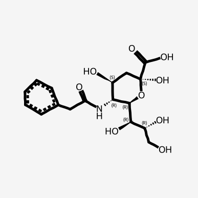 O=C(Cc1ccccc1)N[C@H]1[C@H]([C@H](O)[C@H](O)CO)O[C@](O)(C(=O)O)C[C@@H]1O